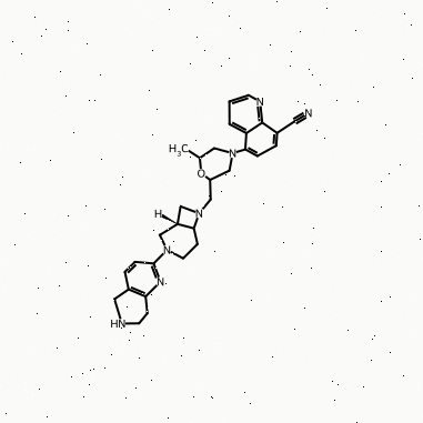 CC1CN(c2ccc(C#N)c3ncccc23)CC(CN2C[C@H]3CN(c4ccc5c(n4)CCNC5)CCC32)O1